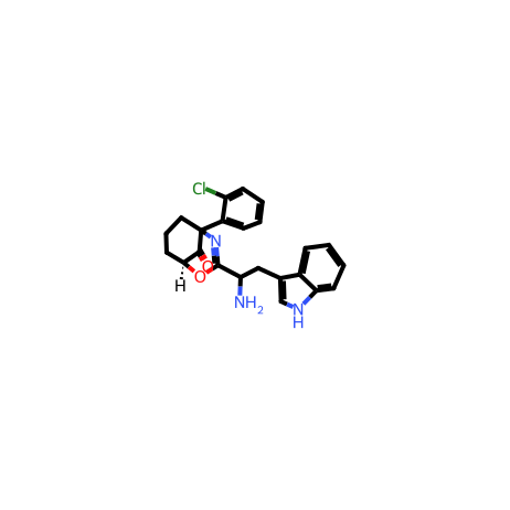 NC(Cc1c[nH]c2ccccc12)C1=NC2(c3ccccc3Cl)CCC[C@H](O1)C2=O